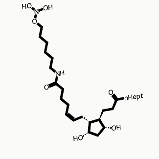 CCCCCCCC(=O)CC[C@@H]1[C@@H](C/C=C\CCCC(=O)NCCCCCCON(O)O)[C@@H](O)C[C@H]1O